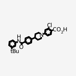 CC(C)(C)c1cccc(NC(=O)c2ccc(C3CCN(c4ccc(C(=O)O)c(Cl)c4)CC3)cc2)c1